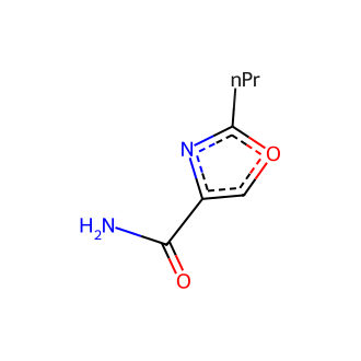 CCCc1nc(C(N)=O)co1